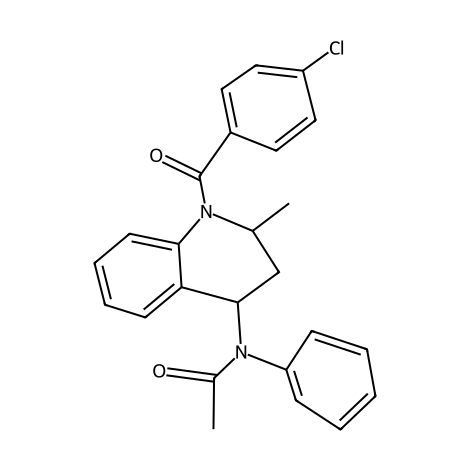 CC(=O)N(c1ccccc1)C1CC(C)N(C(=O)c2ccc(Cl)cc2)c2ccccc21